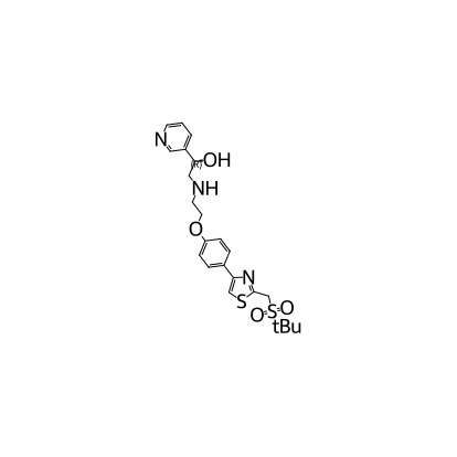 CC(C)(C)S(=O)(=O)Cc1nc(-c2ccc(OCCNC[C@H](O)c3cccnc3)cc2)cs1